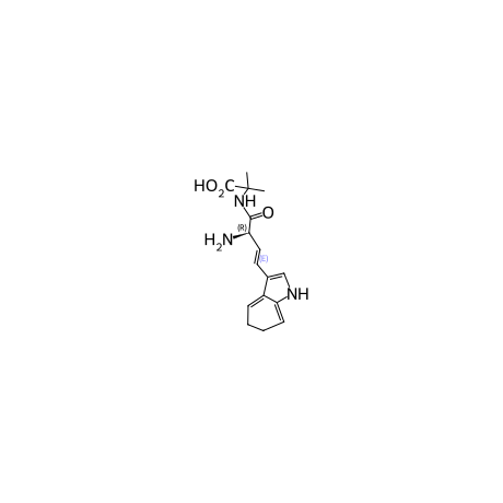 CC(C)(NC(=O)[C@H](N)/C=C/c1c[nH]c2c1=CCCC=2)C(=O)O